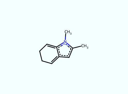 Cc1cc2c(n1C)=CCCC=2